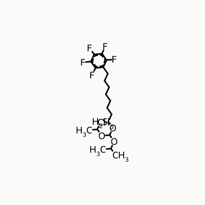 CC(C)OC(O[SiH2]CCCCCCCc1c(F)c(F)c(F)c(F)c1F)OC(C)C